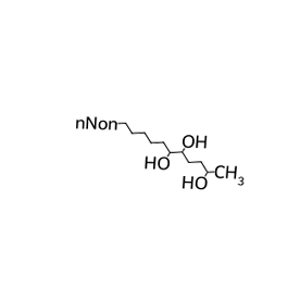 CCCCCCCCCCCCCCC(O)C(O)CCC(C)O